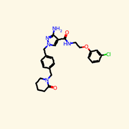 Nc1nn(Cc2ccc(CN3CCCCC3=O)cc2)cc1C(=O)NCCOc1cccc(Cl)c1